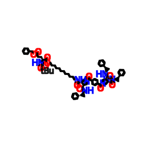 CC(C)(C)OC(=O)N[C@@H](CCC(=O)OCc1ccccc1)C(=O)OCCCCCCCCCCCCNC(=O)[C@@H]1CN(C(=O)c2ccc(C(=O)N3C[C@@H](C(=O)N[C@H]4C[C@@H]4c4ccccc4)[C@H](C(=O)N[C@H]4C[C@@H]4c4ccccc4)C3)cc2)C[C@H]1C(=O)N[C@H]1C[C@@H]1c1ccccc1